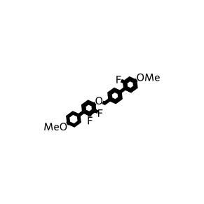 COc1ccc(-c2ccc(COc3ccc(C4CCC(OC)CC4)c(F)c3F)cc2)c(F)c1